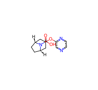 O=C(O)N1[C@@H]2CC[C@H]1CC(Oc1cnccn1)C2